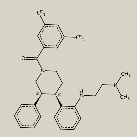 CN(C)CCNc1ccccc1[C@@H]1CCN(C(=O)c2cc(C(F)(F)F)cc(C(F)(F)F)c2)C[C@@H]1c1ccccc1